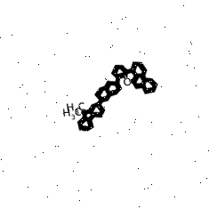 CC1(C)c2ccccc2-c2ccc(-c3ccc4cc(-c5cccc6c5Oc5cc7ccccc7c7cccc-6c57)ccc4c3)cc21